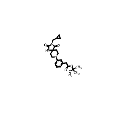 CC(C)(C)OC(=O)Cc1cccc(N2CCC3(CC2)NC(=O)N(CC2CC2)C3=O)c1